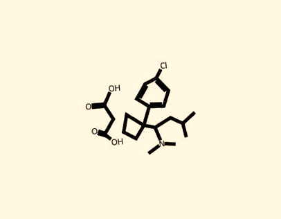 CC(C)CC(N(C)C)C1(c2ccc(Cl)cc2)CCC1.O=C(O)CC(=O)O